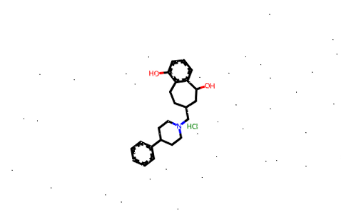 Cl.Oc1cccc2c1CCC(CN1CCC(c3ccccc3)CC1)CC2O